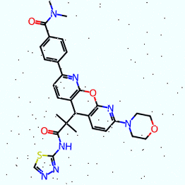 CN(C)C(=O)c1ccc(-c2ccc3c(n2)Oc2nc(N4CCOCC4)ccc2C3C(C)(C)C(=O)Nc2nncs2)cc1